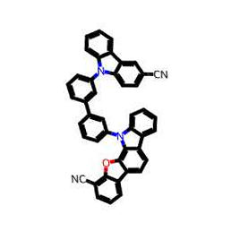 N#Cc1ccc2c(c1)c1ccccc1n2-c1cccc(-c2cccc(-n3c4ccccc4c4ccc5c6cccc(C#N)c6oc5c43)c2)c1